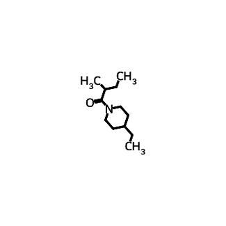 CCC1CCN(C(=O)C(C)CC)CC1